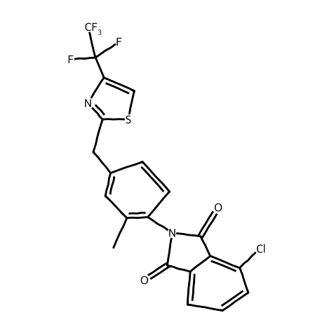 Cc1cc(Cc2nc(C(F)(F)C(F)(F)F)cs2)ccc1N1C(=O)c2cccc(Cl)c2C1=O